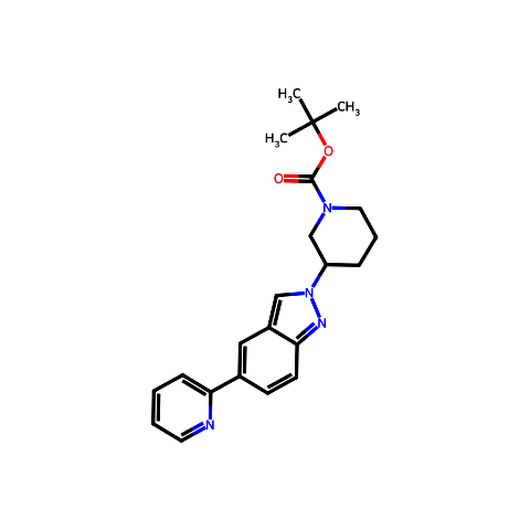 CC(C)(C)OC(=O)N1CCCC(n2cc3cc(-c4ccccn4)ccc3n2)C1